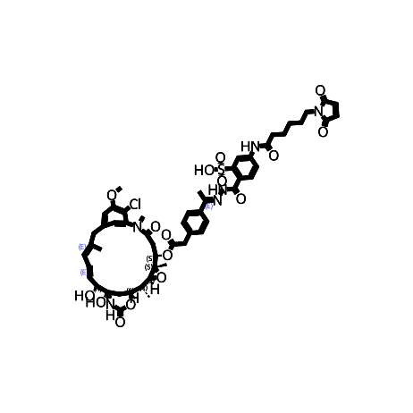 COc1cc2cc(c1Cl)N(C)C(=O)C[C@H](OC(=O)Cc1ccc(/C(C)=N/NC(=O)c3ccc(NC(=O)CCCCCN4C(=O)C=CC4=O)cc3S(=O)(=O)O)cc1)[C@]1(C)O[C@H]1[C@H](C)[C@@H]1C[C@@](O)(NC(=O)O1)[C@H](O)/C=C/C=C(\C)C2